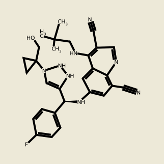 CC(C)(C)CNc1c(C#N)cnc2c(C#N)cc(N[C@H](C3=CN(C4(CO)CC4)NN3)c3ccc(F)cc3)cc12